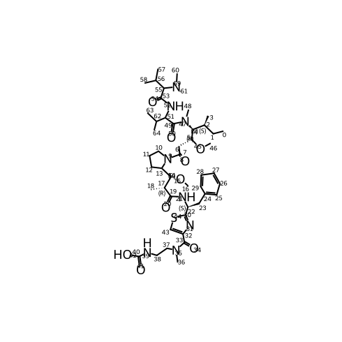 CC[C@H](C)[C@@H]([C@@H](CC(=O)N1CCCC1[C@H](OC)[C@@H](C)C(=O)N[C@@H](Cc1ccccc1)c1nc(C(=O)N(C)CCNC(=O)O)cs1)OC)N(C)C(=O)C(NC(=O)C(C(C)C)N(C)C)C(C)C